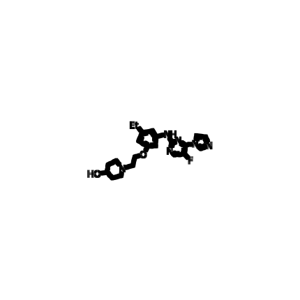 CCc1cc(Nc2ncc(F)c(-n3ccnc3)n2)cc(OCCN2CCC(O)CC2)c1